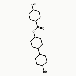 O=C(OC1CCC(C2CC[CH]([Rb])CC2)CC1)C1CC[CH]([RaH])CC1